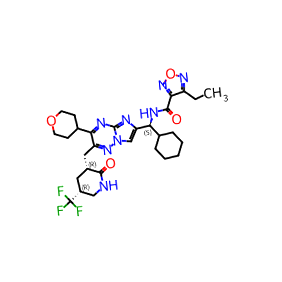 CCc1nonc1C(=O)N[C@H](c1cn2nc(C[C@H]3C[C@@H](C(F)(F)F)CNC3=O)c(C3CCOCC3)nc2n1)C1CCCCC1